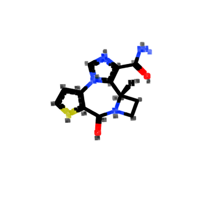 NC(=O)c1ncn2c1[C@@H]1CCN1C(=O)c1sccc1-2